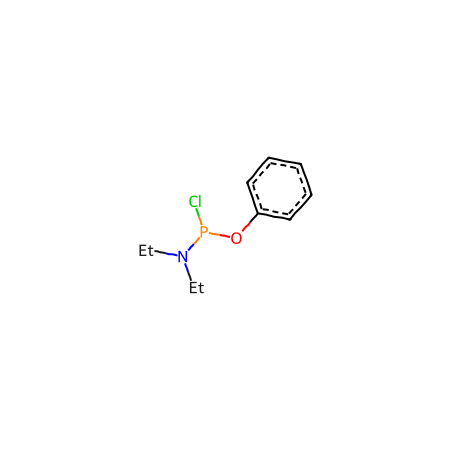 CCN(CC)P(Cl)Oc1ccccc1